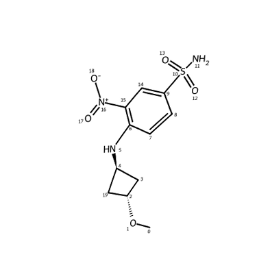 CO[C@H]1C[C@H](Nc2ccc(S(N)(=O)=O)cc2[N+](=O)[O-])C1